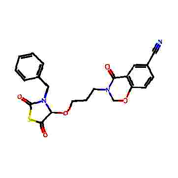 N#Cc1ccc2c(c1)C(=O)N(CCCOC1C(=O)SC(=O)N1Cc1ccccc1)CO2